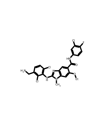 CCOc1cc2c(cc1C(=O)Nc1ccc(F)c(Cl)c1)nc(Nc1c(Cl)ccc(CN)c1Cl)n2C